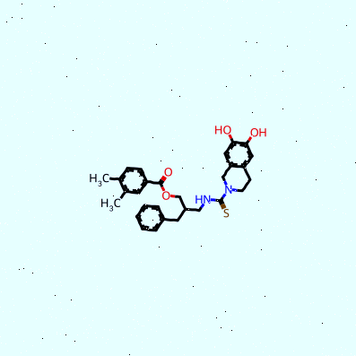 Cc1ccc(C(=O)OCC(CNC(=S)N2CCc3cc(O)c(O)cc3C2)Cc2ccccc2)cc1C